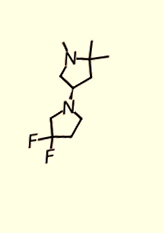 CN1C[C@H](N2CCC(F)(F)C2)CC1(C)C